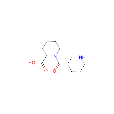 O=C(O)C1CCCCN1C(=O)C1CCCNC1